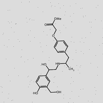 COC(=O)COc1ccc(CC(C)NCC(O)c2ccc(O)c(CO)c2)cc1